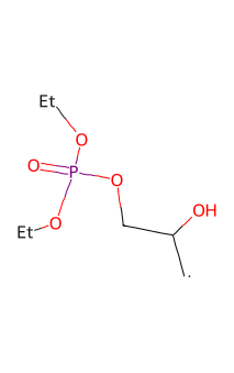 [CH2]C(O)COP(=O)(OCC)OCC